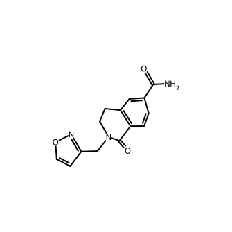 NC(=O)c1ccc2c(c1)CCN(Cc1ccon1)C2=O